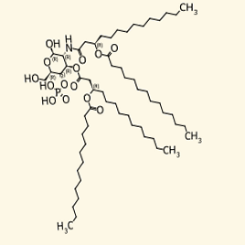 CCCCCCCCCCCCCC(=O)O[C@H](CCCCCCCCCCC)CC(=O)N[C@@H]1[C@@H](OC(=O)C[C@@H](CCCCCCCCCCC)OC(=O)CCCCCCCCCCCCC)[C@H](OP(=O)(O)O)[C@@H](CO)O[C@H]1O